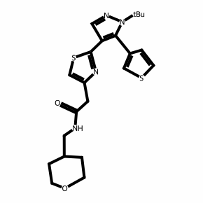 CC(C)(C)n1ncc(-c2nc(CC(=O)NCC3CCOCC3)cs2)c1-c1ccsc1